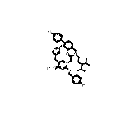 CC(C)N(CCN(Cc1ccc(-c2ccc(Cl)cc2)cc1)C(=O)Cn1cc(Cc2cnn(C)c2)c(=O)nc1SCc1ccc(F)cc1)C(C)C.Cl